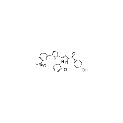 CS(=O)(=O)c1cccc(-c2ccc(-c3cc(C(=O)N4CCC(O)CC4)nn3-c3ccccc3Cl)s2)c1